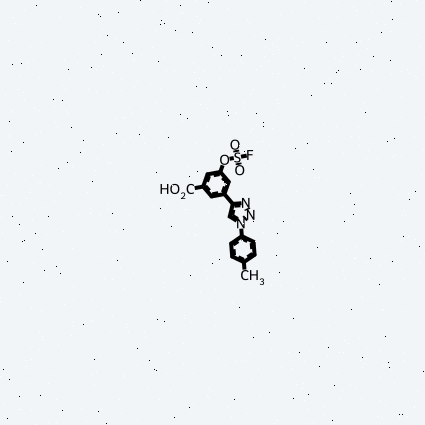 Cc1ccc(-n2cc(-c3cc(OS(=O)(=O)F)cc(C(=O)O)c3)nn2)cc1